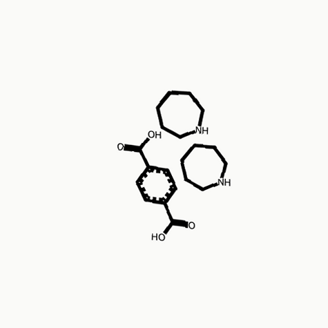 C1CCCNCC1.C1CCCNCC1.O=C(O)c1ccc(C(=O)O)cc1